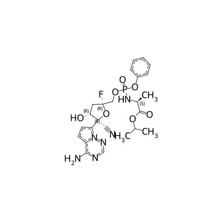 CC(C)OC(=O)[C@H](C)NP(=O)(OC[C@]1(F)C[C@@H](O)[C@](C#N)(c2ccc3c(N)ncnn23)O1)Oc1ccccc1